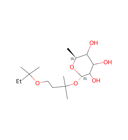 CCC(C)(C)OCCC(C)(C)O[C@@H]1O[C@@H](C)C(O)C(O)C1O